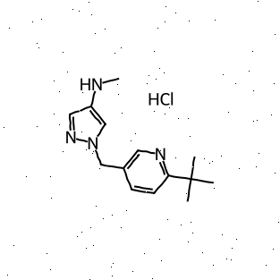 CNc1cnn(Cc2ccc(C(C)(C)C)nc2)c1.Cl